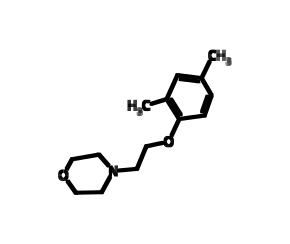 Cc1ccc(OCCN2CCOCC2)c(C)c1